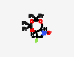 CC(C)[Si]1(C(C)C)OC[C@@H]2[C@@H](O[Si](C(C)C)(C(C)C)O1)[C@@](C)(F)C=[N+]2[O-]